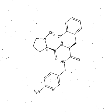 CN1CCC[C@@H]1C(=O)N[C@@H](Cc1ccccc1Cl)C(=O)NCc1ccc(N)nc1